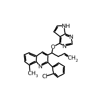 C=CCC(Oc1ncnc2[nH]ccc12)c1cc2cccc(C)c2nc1-c1ccccc1Cl